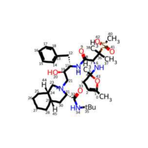 CC1=CCC(C)(N[C@H](C(=O)N[C@@H](Cc2ccccc2)[C@H](O)CN2C[C@H]3CCCC[C@H]3C[C@H]2C(=O)NC(C)(C)C)C(C)(C)S(C)(=O)=O)O1